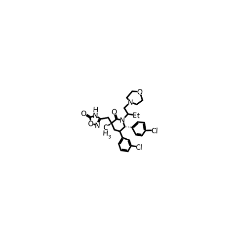 CCC(CN1CCOCC1)N1C(=O)[C@@](C)(Cc2noc(=O)[nH]2)CC(c2cccc(Cl)c2)[C@H]1c1ccc(Cl)cc1